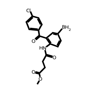 Bc1ccc(NC(=O)CCC(=O)OC)c(C(=O)c2ccc(Cl)cc2)c1